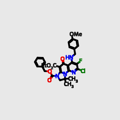 CCOC(=O)c1c2n(c3nc(Cl)c(F)c(NCc4ccc(OC)cc4)c3c1=O)C(C)(C)CN2C(=O)OCc1ccccc1